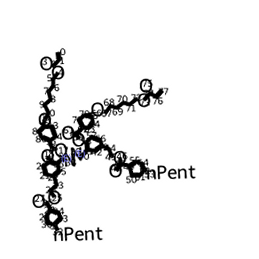 C=CC(=O)OCCCCCCOc1ccc(C(=O)Oc2ccc(CCOC(=O)c3ccc(CCCCC)cc3)cc2/C=N/N=C/c2cc(CCOC(=O)c3ccc(CCCCC)cc3)ccc2OC(=O)c2ccc(OCCCCCCOC(=O)C=C)cc2)cc1